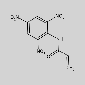 C=CC(=O)Nc1c([N+](=O)[O-])cc([N+](=O)[O-])cc1[N+](=O)[O-]